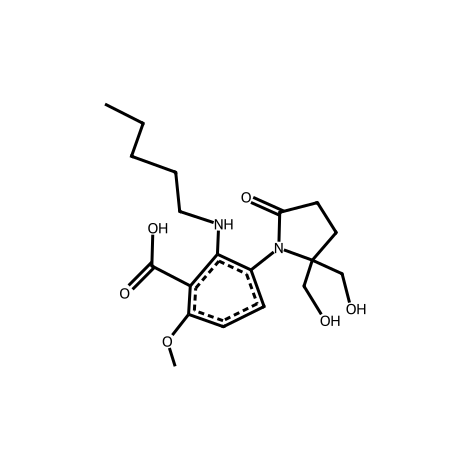 CCCCCNc1c(N2C(=O)CCC2(CO)CO)ccc(OC)c1C(=O)O